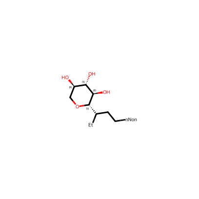 CCCCCCCCCCCC(CC)[C@@H]1OC[C@@H](O)[C@H](O)[C@H]1O